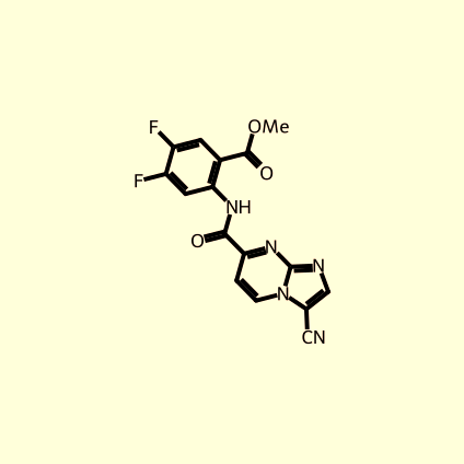 COC(=O)c1cc(F)c(F)cc1NC(=O)c1ccn2c(C#N)cnc2n1